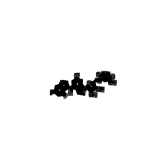 O=P(O)(O)CP(=O)(O)OC[C@H]1O[C@@H](n2ncc3c(N[C@@H]4CCc5cc(F)cc(F)c54)cc(Cl)nc32)[C@H](O)[C@@H]1O